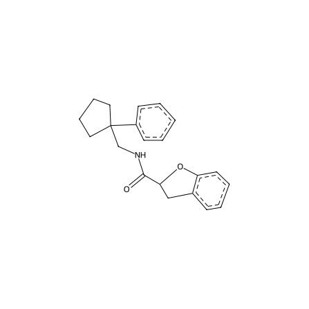 O=C(NCC1(c2ccccc2)CCCC1)C1Cc2ccccc2O1